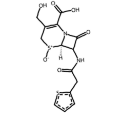 O=C(Cc1cccs1)NC1C(=O)N2C(C(=O)O)=C(CO)C[S+]([O-])[C@H]12